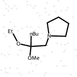 CCCCC([CH]N1CCCC1)(OC)OCC